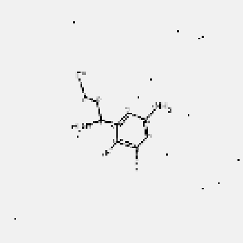 Nc1cc(F)c(F)c(C(N)CCF)c1